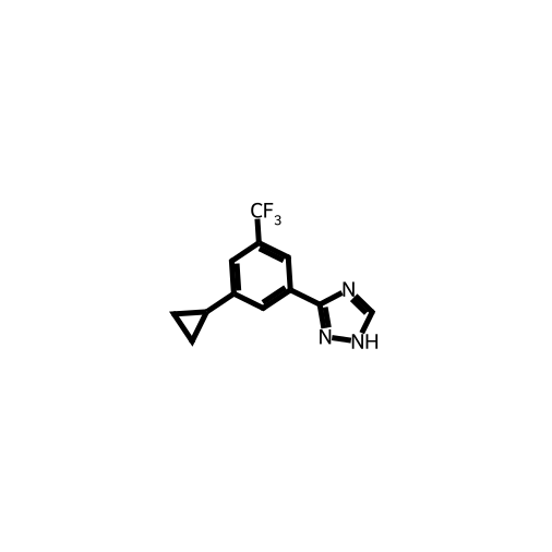 FC(F)(F)c1cc(-c2nc[nH]n2)cc(C2CC2)c1